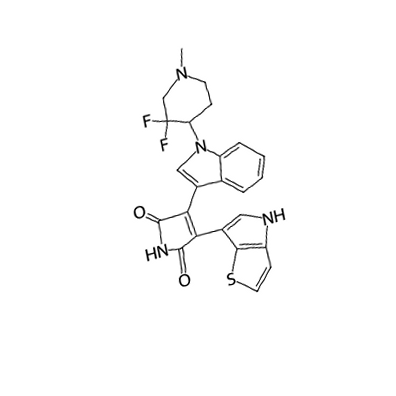 CN1CCC(n2cc(C3=C(c4c[nH]c5ccsc45)C(=O)NC3=O)c3ccccc32)C(F)(F)C1